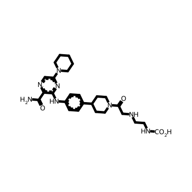 NC(=O)c1ncc(N2CCCCC2)nc1Nc1ccc(C2CCN(C(=O)CNCCNC(=O)O)CC2)cc1